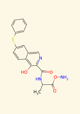 CC(NC(=O)c1ncc2cc(Sc3ccccc3)ccc2c1O)C(=O)ON